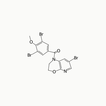 COc1c(Br)cc(C(=O)N2CCOc3ncc(Br)cc32)cc1Br